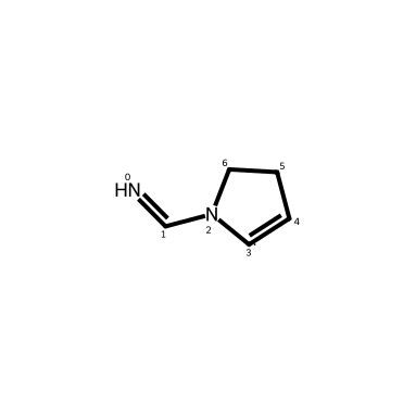 N=CN1[C]=CCC1